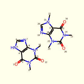 Cn1c(=O)c2[nH]cnc2n(C)c1=O.Cn1c(=O)c2c(ncn2C)n(C)c1=O